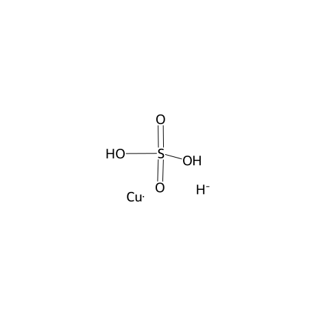 O=S(=O)(O)O.[Cu].[H-]